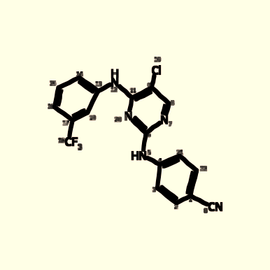 N#Cc1ccc(Nc2ncc(Cl)c(Nc3cccc(C(F)(F)F)c3)n2)cc1